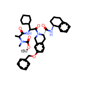 CC(C(=O)NC(C(=O)N1Cc2cc(OCc3ccccc3)ccc2C[C@H]1C(=O)N[C@H]1CCCc2ccccc21)C1CCCCC1)N(C)C(=O)OC(C)(C)C